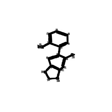 Oc1ccccc1-c1cc2c(cc1Br)OCO2